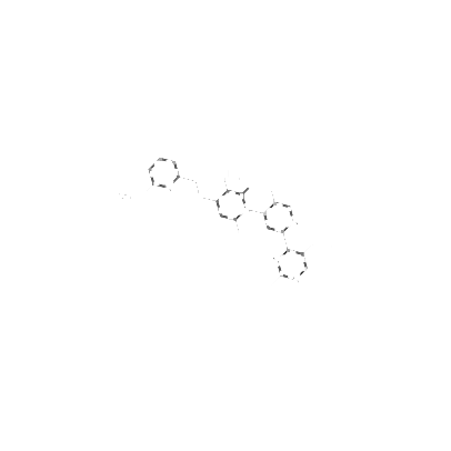 COc1cccc(COc2cc(C)n(-c3cc(-c4nc(C(C)C)ncc4C)ncc3Cl)c(=O)c2C)n1